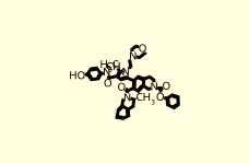 Cc1c(C(=O)N(C)c2ccc(O)cc2)cc(-c2cc3c(cc2C(=O)N2Cc4ccccc4C[C@H]2C)CN(C(=O)Oc2ccccc2)CC3)n1CCN1CCOCC1